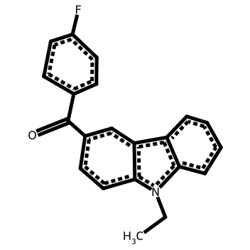 CCn1c2ccccc2c2cc(C(=O)c3ccc(F)cc3)ccc21